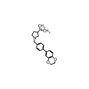 CN(C)C1CCN(Cc2ccc(-c3ccc4c(c3)OCCO4)cc2)C1